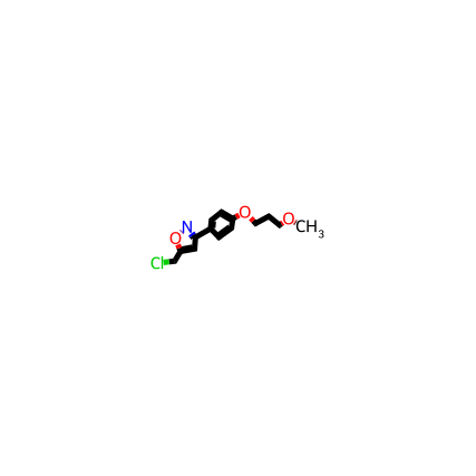 COCCCOc1ccc(-c2cc(CCl)on2)cc1